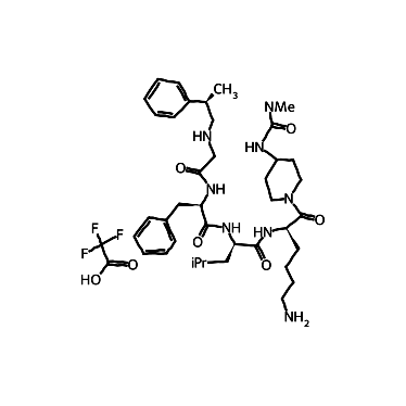 CNC(=O)NC1CCN(C(=O)[C@@H](CCCCN)NC(=O)[C@@H](CC(C)C)NC(=O)[C@@H](Cc2ccccc2)NC(=O)CNC[C@H](C)c2ccccc2)CC1.O=C(O)C(F)(F)F